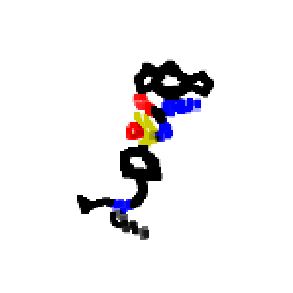 CN(Cc1ccc(/[SH](=O)=N/C(=O)Nc2c3c(cc4c2CCC4)CCC3)cc1)CC1CC1